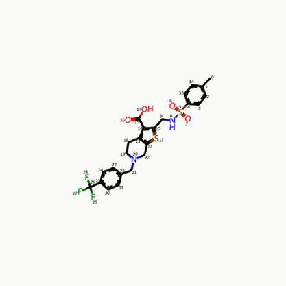 Cc1ccc(S(=O)(=O)NCc2sc3c(c2C(=O)O)CCN(Cc2ccc(C(F)(F)F)cc2)C3)cc1